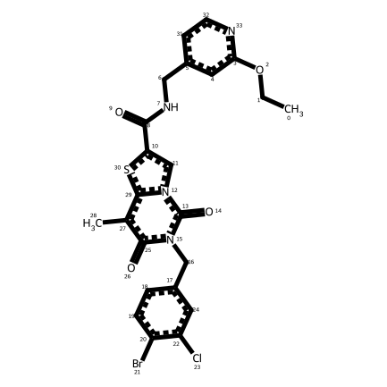 CCOc1cc(CNC(=O)c2cn3c(=O)n(Cc4ccc(Br)c(Cl)c4)c(=O)c(C)c3s2)ccn1